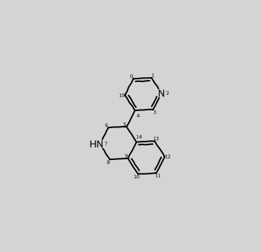 c1cncc(C2CNCc3ccccc32)c1